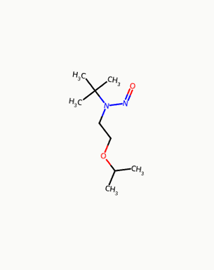 CC(C)OCCN(N=O)C(C)(C)C